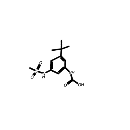 CC(C)(C)c1cc(NC(=O)O)cc(NS(C)(=O)=O)c1